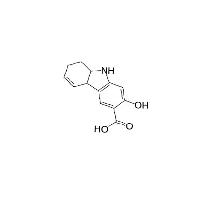 O=C(O)c1cc2c(cc1O)NC1CCC=CC21